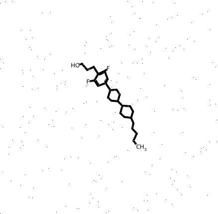 CCCCCC1CCC(C2CCC(c3cc(F)c(CCCO)c(F)c3)CC2)CC1